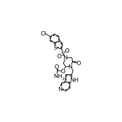 NC(=O)OC1CN(S(=O)(=O)c2cc3ccc(Cl)cc3s2)CC(=O)N1Cc1cc2cnccc2[nH]1